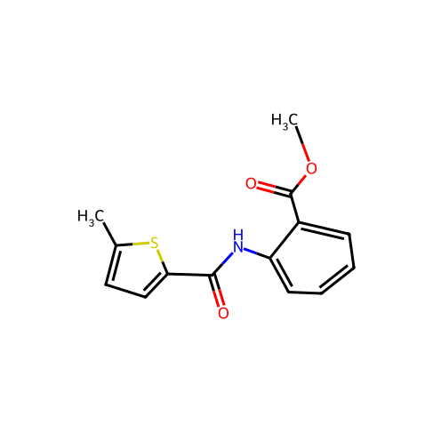 COC(=O)c1ccccc1NC(=O)c1ccc(C)s1